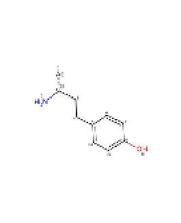 CC(=O)[C@@H](N)CCc1ccc(O)cc1